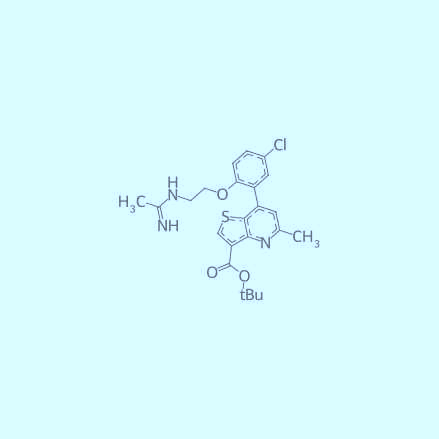 CC(=N)NCCOc1ccc(Cl)cc1-c1cc(C)nc2c(C(=O)OC(C)(C)C)csc12